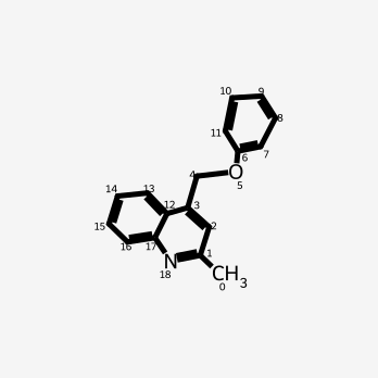 Cc1cc(COc2ccccc2)c2ccccc2n1